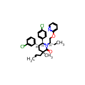 C=CC[C@@]1(C)C[C@H](c2cccc(Cl)c2)[C@@H](c2ccc(Cl)cc2)N([C@@H](CC)COc2ccccn2)C1=O